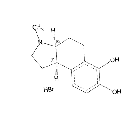 Br.CN1CC[C@@H]2c3ccc(O)c(O)c3CC[C@@H]21